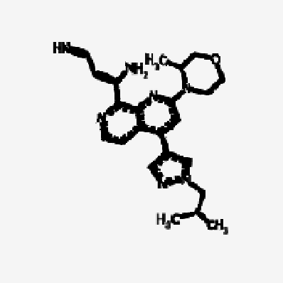 CC(C)Cn1cc(-c2cc(N3CCOCC3C)nc3c(/C(N)=C/C=N)nccc23)cn1